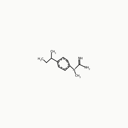 CCC(C)c1ccc(N(C)C(=N)N)cc1